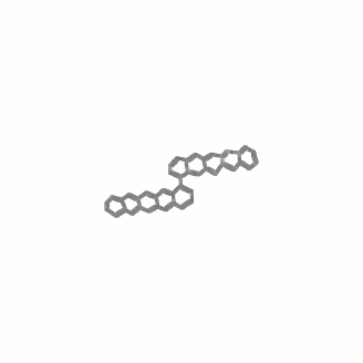 c1ccc2cc3cc4cc5c(-c6cccc7cc8cc9cc%10ccccc%10cc9cc8cc67)cccc5cc4cc3cc2c1